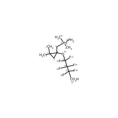 CC1(C)CC1(C[PH](C)(C)P)OC(F)(F)C(F)(F)C(F)(F)C(=O)O